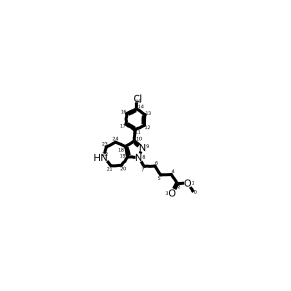 COC(=O)CCCCn1nc(-c2ccc(Cl)cc2)c2c1CCNCC2